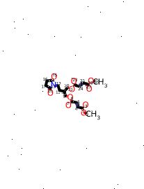 COC(=O)/C=C/C(=O)OCC(CCN1C(=O)CCC1=O)COC(=O)/C=C/C(=O)OC